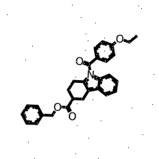 CCOc1ccc(C(=O)n2c3c(c4ccccc42)CC(C(=O)OCc2ccccc2)CC3)cc1